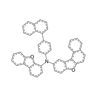 c1ccc2c(-c3ccc(N(c4ccc5oc6ccc7ccccc7c6c5c4)c4cccc5c4oc4ccccc45)cc3)cccc2c1